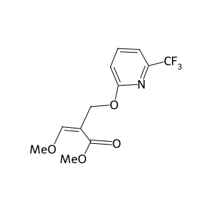 COC=C(COc1cccc(C(F)(F)F)n1)C(=O)OC